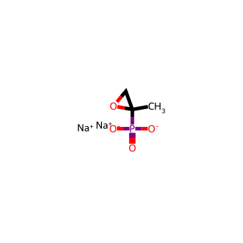 CC1(P(=O)([O-])[O-])CO1.[Na+].[Na+]